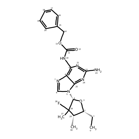 CC[C@H]1O[C@@H](n2cnc3c(NC(=O)OCc4ccccc4)nc(N)nc32)C(C)(F)[C@H]1C